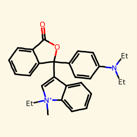 CCN(CC)c1ccc(C2(C3=C[N+](C)(CC)c4ccccc43)OC(=O)c3ccccc32)cc1